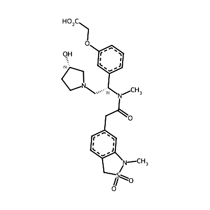 CN(C(=O)Cc1ccc2c(c1)N(C)S(=O)(=O)C2)[C@H](CN1CC[C@H](O)C1)c1cccc(OCC(=O)O)c1